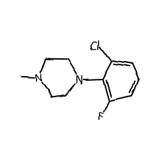 CN1CCN(c2c(F)cccc2Cl)CC1